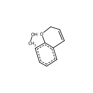 C1=Cc2ccccc2OC1.CO